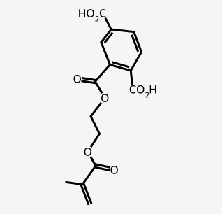 C=C(C)C(=O)OCCOC(=O)c1cc(C(=O)O)ccc1C(=O)O